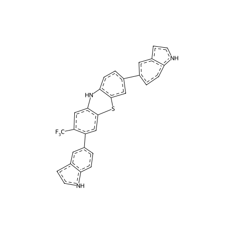 FC(F)(F)c1cc2c(cc1-c1ccc3[nH]ccc3c1)Sc1cc(-c3ccc4[nH]ccc4c3)ccc1N2